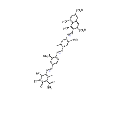 CCn1c(O)c(/N=N/c2ccc(/N=N/c3cc(OC)c(/N=N/c4c(S(=O)(=O)O)cc5cc(S(=O)(=O)O)cc(O)c5c4O)cc3C)c(S(=O)(=O)O)c2)c(C)c(C(N)=O)c1=O